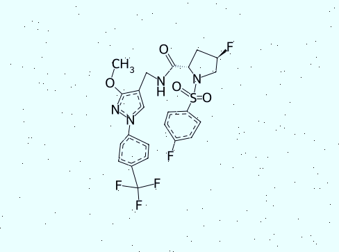 COc1nn(-c2ccc(C(F)(F)F)cc2)cc1CNC(=O)[C@@H]1C[C@@H](F)CN1S(=O)(=O)c1ccc(F)cc1